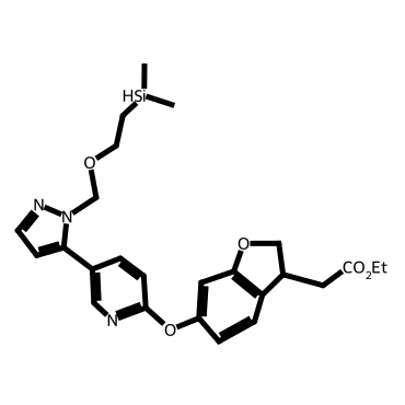 CCOC(=O)CC1COc2cc(Oc3ccc(-c4ccnn4COCC[SiH](C)C)cn3)ccc21